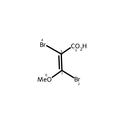 CO/C(Br)=C(\Br)C(=O)O